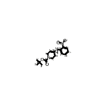 CC(C)(C)OC(=O)N1CC=C(Nc2ccccc2[N+](=O)[O-])CC1